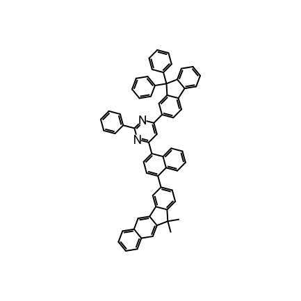 CC1(C)c2ccc(-c3ccc(-c4cc(-c5ccc6c(c5)C(c5ccccc5)(c5ccccc5)c5ccccc5-6)nc(-c5ccccc5)n4)c4ccccc34)cc2-c2cc3ccccc3cc21